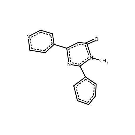 Cn1c(-c2ccccc2)nc(-c2ccncc2)cc1=O